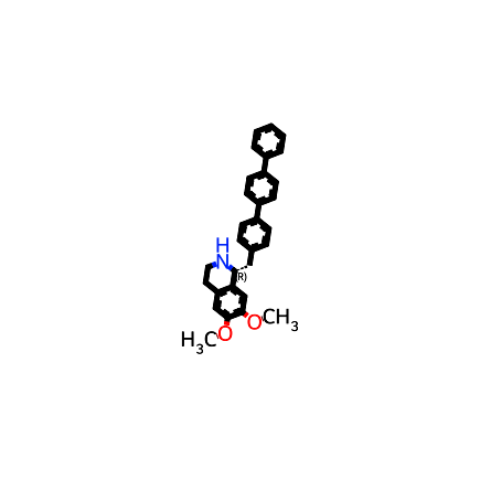 COc1cc2c(cc1OC)[C@@H](Cc1ccc(-c3ccc(-c4ccccc4)cc3)cc1)NCC2